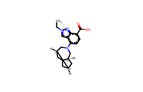 CCn1cc2c(N3C[C@H]4C[C@@H]5CC4C[C@@H]5C3)ccc(C(=O)O)c2n1